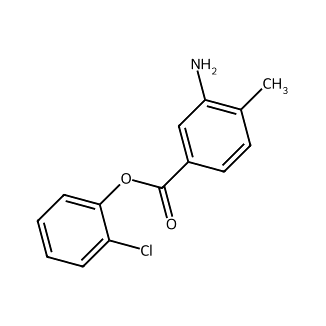 Cc1ccc(C(=O)Oc2ccccc2Cl)cc1N